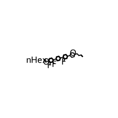 C=CCCC1CCC(c2ccc(-c3ccc(-c4ccc(OCCCCCC)c(F)c4F)cc3)c(F)c2)CO1